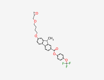 CC1c2cc(OCCCCOCC3CO3)ccc2-c2ccc(C(=O)Oc3ccc(OC(F)(F)F)cc3)cc21